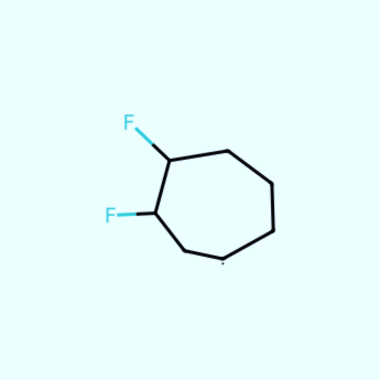 FC1C[CH]CCCC1F